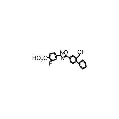 O=C(O)c1ccc(-c2noc(-c3ccc(-c4ccccc4)c(CO)c3)n2)cc1F